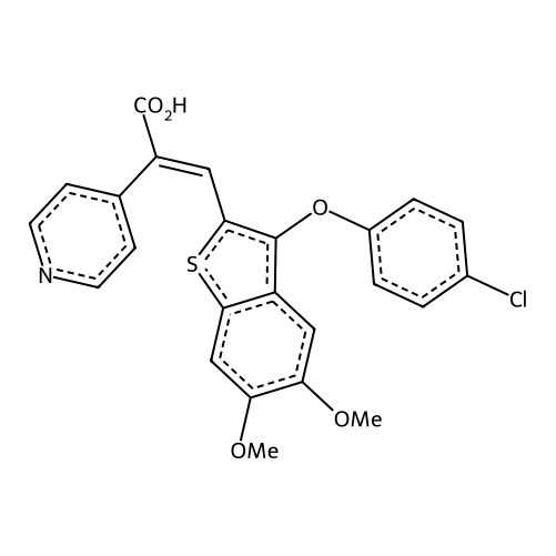 COc1cc2sc(/C=C(/C(=O)O)c3ccncc3)c(Oc3ccc(Cl)cc3)c2cc1OC